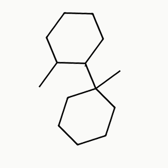 CC1CCCC[C]1C1(C)CCCCC1